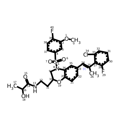 COc1cc(S(=O)(=O)N2CC(CCNC(=O)C(C)O)Oc3ccc(/C=C(\C)c4c(F)cccc4Cl)cc32)ccc1F